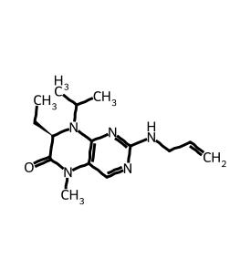 C=CCNc1ncc2c(n1)N(C(C)C)[C@H](CC)C(=O)N2C